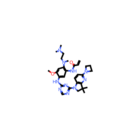 C=CC(=O)Nc1cc(Nc2ncnc(N3CC(C)(C)c4nc(N5CCC5)ccc43)n2)c(OC)cc1N(C)CCN(C)C